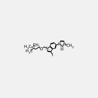 CN1C=CN(c2ccc3c(c2)c(I)cn3COCC[Si](C)(C)C)N1